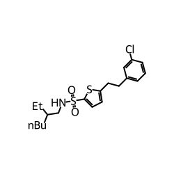 CCCCC(CC)CNS(=O)(=O)c1ccc(CCc2cccc(Cl)c2)s1